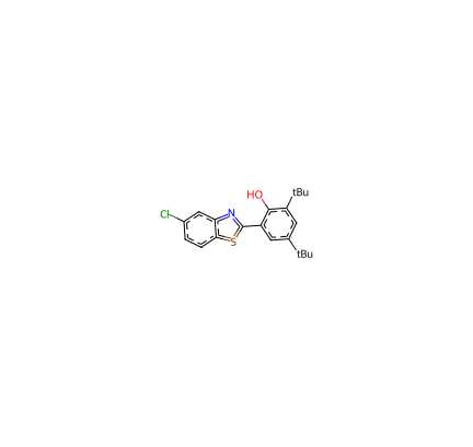 CC(C)(C)c1cc(-c2nc3cc(Cl)ccc3s2)c(O)c(C(C)(C)C)c1